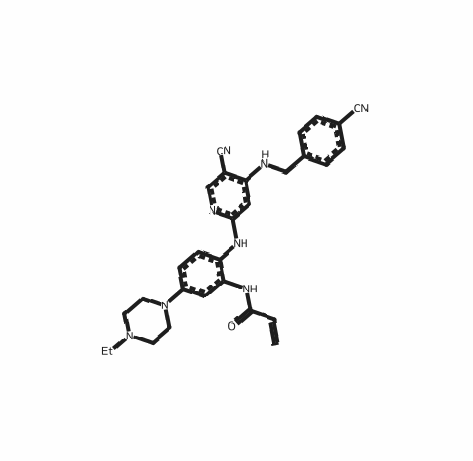 C=CC(=O)Nc1cc(N2CCN(CC)CC2)ccc1Nc1cc(NCc2ccc(C#N)cc2)c(C#N)cn1